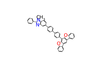 Cn1c(-c2ccccc2)nc2cc(-c3ccc(-c4ccc(-c5c6oc7ccccc7c6cc6c5oc5ccccc56)cc4)cc3)ccc21